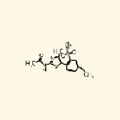 CCc1ccc(-c2sc(NC(C)=O)nc2C)c(S(N)(=O)=O)c1